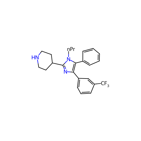 CCCn1c(C2CCNCC2)nc(-c2cccc(C(F)(F)F)c2)c1-c1ccccc1